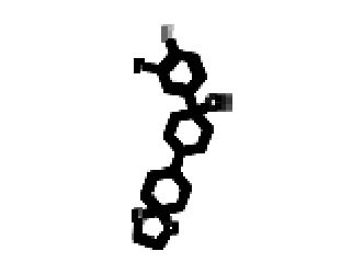 OC1(c2ccc(F)c(F)c2)CCC(C2CCC3(CC2)OCCO3)CC1